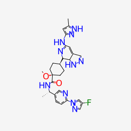 CO[C@]1(C(=O)N[C@@H](C)c2ccc(-n3cc(F)cn3)nc2)CC[C@H](C2N=C(Nc3cc(C)[nH]n3)C=C3C=NNC32)CC1